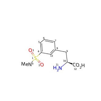 CNS(=O)(=O)c1cccc(C[C@H](N)C(=O)O)c1